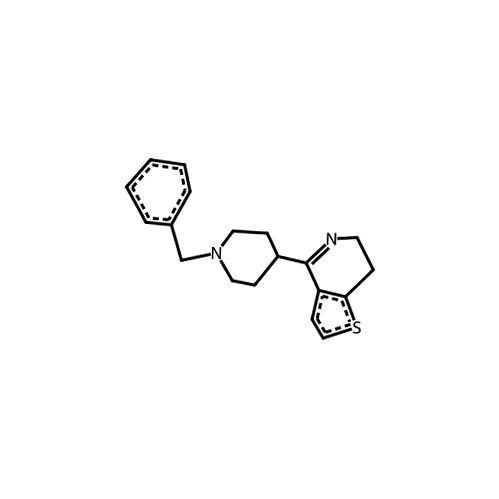 c1ccc(CN2CCC(C3=NCCc4sccc43)CC2)cc1